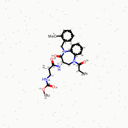 COc1ccccc1CN1C(=O)[C@@H](NC(=O)[C@@H](C)CNC(=O)OC(C)(C)C)CN(C(=O)CC(C)C)c2ccccc21